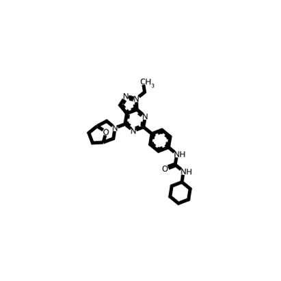 CCn1ncc2c(N3CC4CCC(C3)O4)nc(-c3ccc(NC(=O)NC4CCCCC4)cc3)nc21